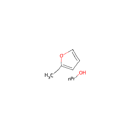 CCCO.Cc1ccco1